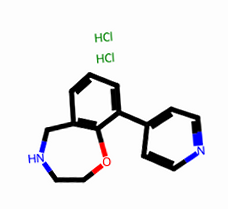 Cl.Cl.c1cc2c(c(-c3ccncc3)c1)OCCNC2